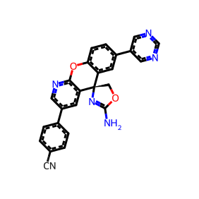 N#Cc1ccc(-c2cnc3c(c2)[C@]2(COC(N)=N2)c2cc(-c4cncnc4)ccc2O3)cc1